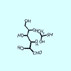 CC(O)S.O=CC(O)C(O)C(O)C(O)CO